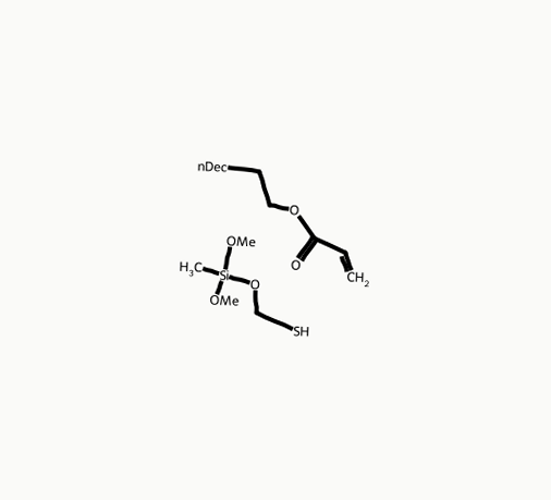 C=CC(=O)OCCCCCCCCCCCC.CO[Si](C)(OC)OCS